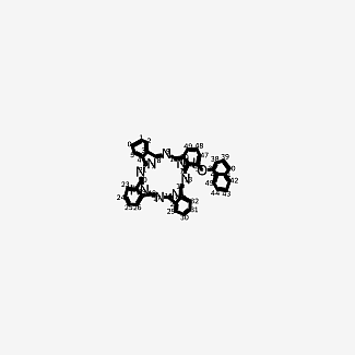 c1ccc2c(c1)-c1nc-2nc2[nH]c(nc3nc(nc4[nH]c(n1)c1ccccc41)-c1ccccc1-3)c1c(Oc3cccc4ccccc34)cccc21